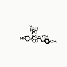 Cl.NC(=O)C[C@H](NC(=O)CCc1ccc(O)cc1O)C(=O)N1CCNCC1